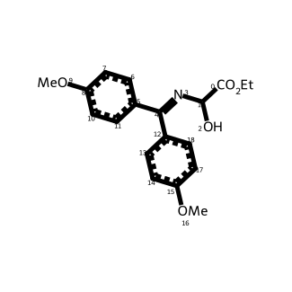 CCOC(=O)C(O)N=C(c1ccc(OC)cc1)c1ccc(OC)cc1